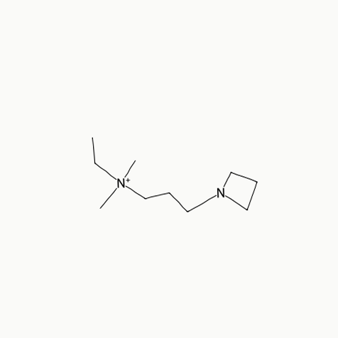 CC[N+](C)(C)CCCN1CCC1